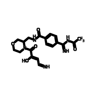 N=C/C=C(\O)C(=O)N1CCOCC1CNC(=O)c1ccc(C(=N)NC(=O)C(F)(F)F)cc1